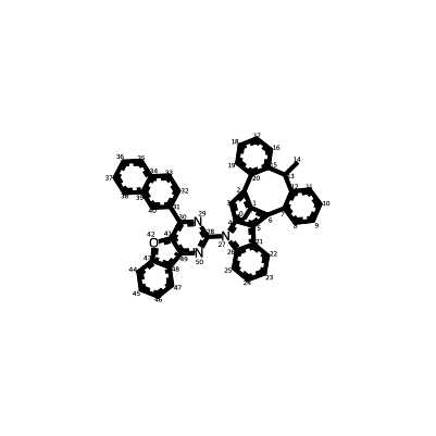 Cc1c2cc3c(c1-c1ccccc1C(C)c1ccccc1-2)c1ccccc1n3-c1nc(-c2ccc3ccccc3c2)c2oc3ccccc3c2n1